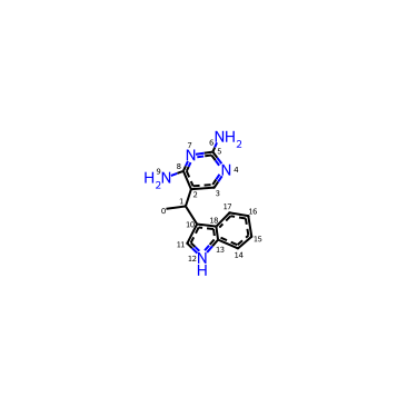 CC(c1cnc(N)nc1N)c1c[nH]c2ccccc12